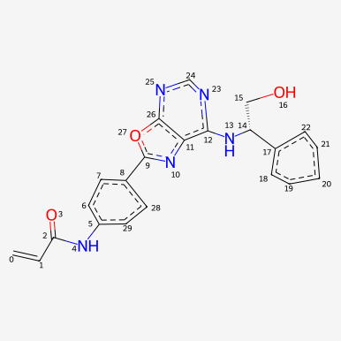 C=CC(=O)Nc1ccc(-c2nc3c(N[C@H](CO)c4ccccc4)ncnc3o2)cc1